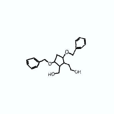 OCCC1C(OCc2ccccc2)CC(OCc2ccccc2)C1CO